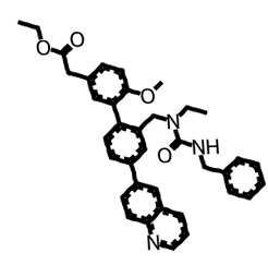 CCOC(=O)Cc1ccc(OC)c(-c2ccc(-c3ccc4ncccc4c3)cc2CN(CC)C(=O)NCc2ccccc2)c1